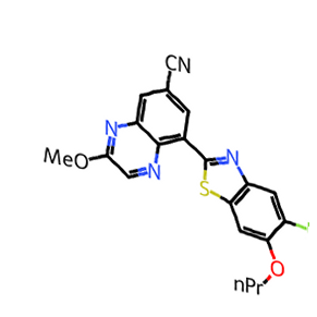 C[CH]COc1cc2sc(-c3cc(C#N)cc4nc(OC)cnc34)nc2cc1F